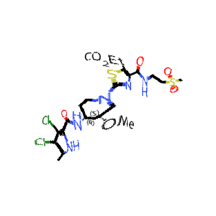 CCOC(=O)c1sc(N2CC[C@@H](NC(=O)c3[nH]c(C)c(Cl)c3Cl)[C@@H](OC)C2)nc1C(=O)NCCS(C)(=O)=O